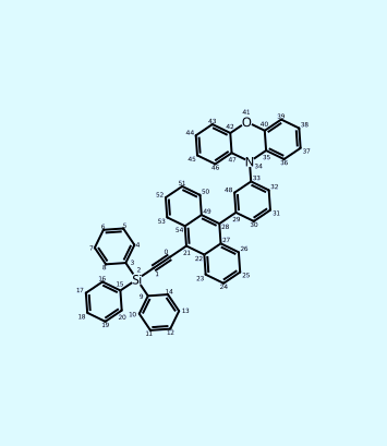 C(#C[Si](c1ccccc1)(c1ccccc1)c1ccccc1)c1c2ccccc2c(-c2cccc(N3c4ccccc4Oc4ccccc43)c2)c2ccccc12